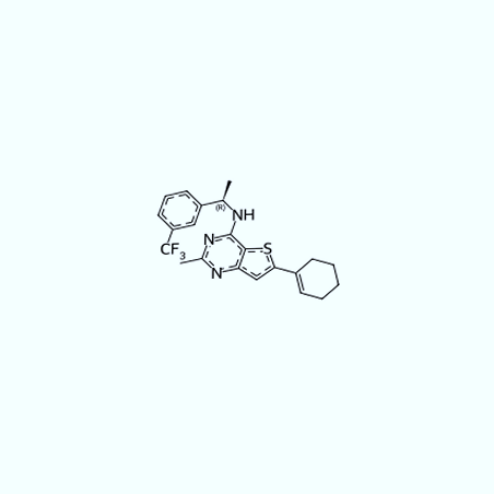 Cc1nc(N[C@H](C)c2cccc(C(F)(F)F)c2)c2sc(C3=CCCCC3)cc2n1